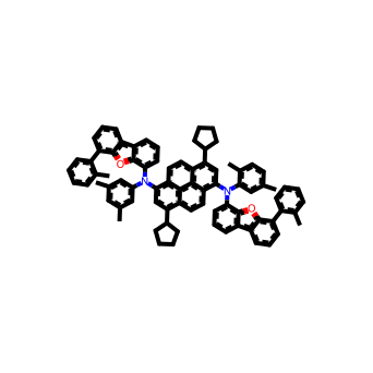 Cc1cc(C)cc(N(c2cc(C3CCCC3)c3ccc4c(N(c5cc(C)ccc5C)c5cccc6c5oc5c(-c7ccccc7C)cccc56)cc(C5CCCC5)c5ccc2c3c54)c2cccc3c2oc2c(-c4ccccc4C)cccc23)c1